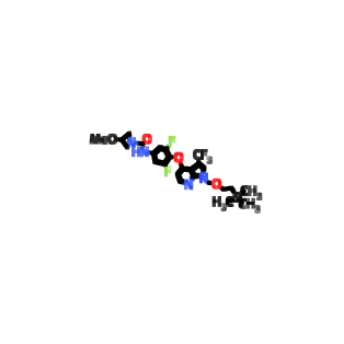 COC1CN(C(=O)Nc2cc(F)c(Oc3ccnc4c3c(C(F)(F)F)cn4COCC[Si](C)(C)C)c(F)c2)C1